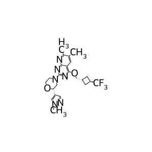 Cc1cc2c(OC[C@H]3C[C@H](C(F)(F)F)C3)nc(N3CCO[C@@H](c4cnn(C)c4)C3)nc2nc1C